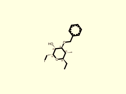 CC[C@H]1O[C@H](CI)[C@H](O)[C@@H](OCc2ccccc2)[C@@H]1C